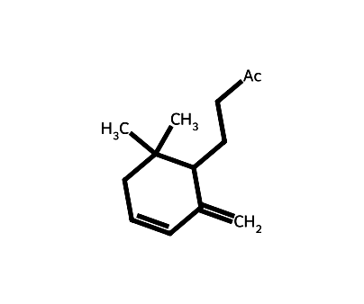 C=C1C=CCC(C)(C)C1CCC(C)=O